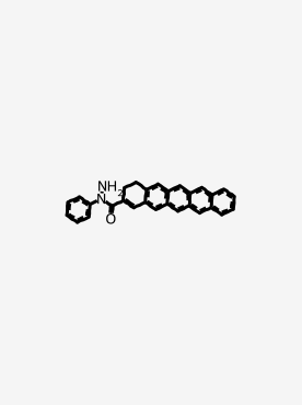 NN(C(=O)C1=Cc2cc3cc4cc5ccccc5cc4cc3cc2CC1)c1ccccc1